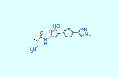 CC(CN)C(=O)Nc1cc(-c2ccc(-c3cnn(C)c3)cc2)no1.Cl